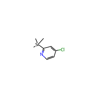 C[Si](C)(C)c1cc(Cl)ccn1